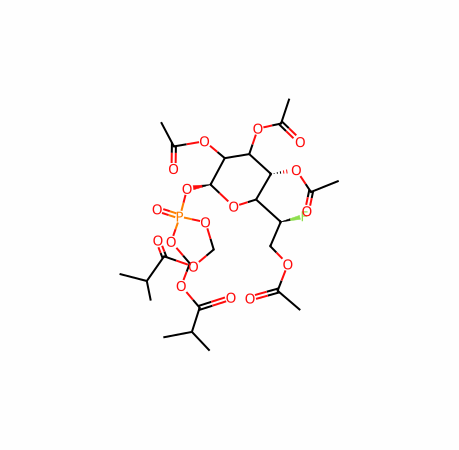 CC(=O)OC[C@H](F)C1O[C@@H](OP(=O)(OCOC(=O)C(C)C)OCOC(=O)C(C)C)C(OC(C)=O)C(OC(C)=O)[C@@H]1OC(C)=O